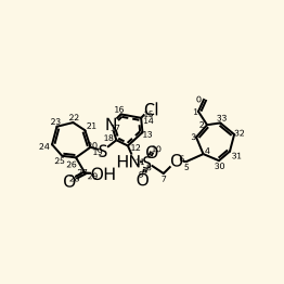 C=CC1=CC(COCS(=O)(=O)Nc2cc(Cl)cnc2SC2=CCC=CC=C2C(=O)O)C=CC=C1